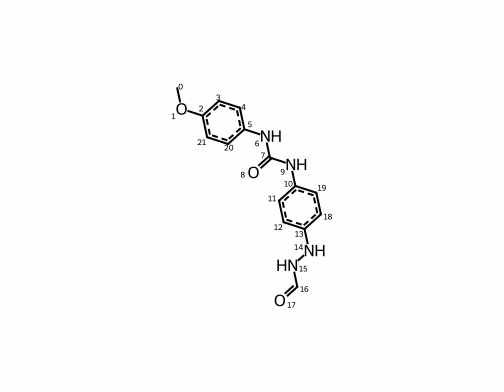 COc1ccc(NC(=O)Nc2ccc(NNC=O)cc2)cc1